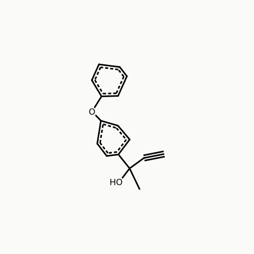 C#CC(C)(O)c1ccc(Oc2ccccc2)cc1